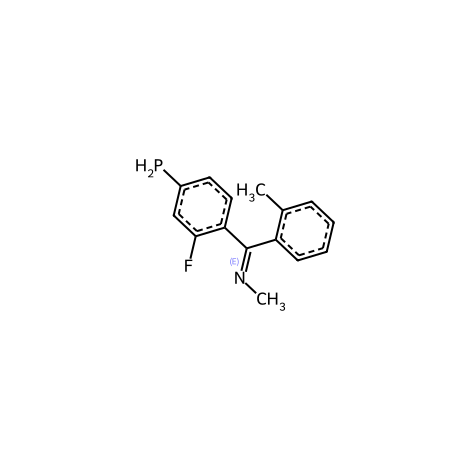 C/N=C(\c1ccccc1C)c1ccc(P)cc1F